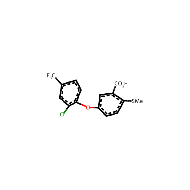 CSc1ccc(Oc2ccc(C(F)(F)F)cc2Cl)cc1C(=O)O